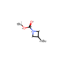 CCCCC1CN(C(=O)OC(C)(C)C)C1